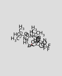 CCC(O)(CC)C(=O)N[C@H]1Cc2ccc3c(c2)C2(c4ccccc4N[C@H]2O3)c2oc(nc2-c2ncc(C(F)(F)F)o2)[C@H](C(C)C)NC1=O